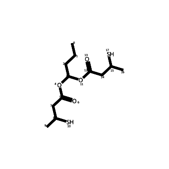 CCCC(OC(=O)CC(C)S)OC(=O)CC(C)S